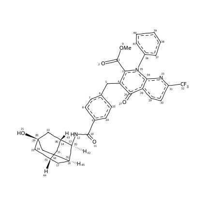 COC(=O)c1c(Cc2ccc(C(=O)N[C@@H]3[C@@H]4C[C@@H]5C[C@H]3C[C@](O)(C5)C4)cc2)c(=O)c2ccc(C(F)(F)F)nc2n1-c1ccccc1